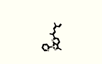 C=C/C(C)=C\C=C(/C)c1ccc2c(C)nn(-c3ccccn3)c2n1